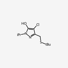 CC(C)n1nc(CSC(C)(C)C)c(Cl)c1O